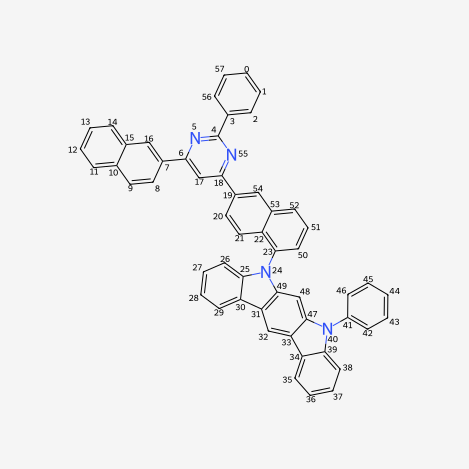 c1ccc(-c2nc(-c3ccc4ccccc4c3)cc(-c3ccc4c(-n5c6ccccc6c6cc7c8ccccc8n(-c8ccccc8)c7cc65)cccc4c3)n2)cc1